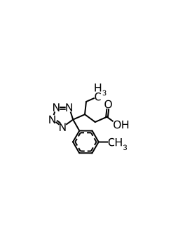 CCC(CC(=O)O)C1(c2cccc(C)c2)N=NN=N1